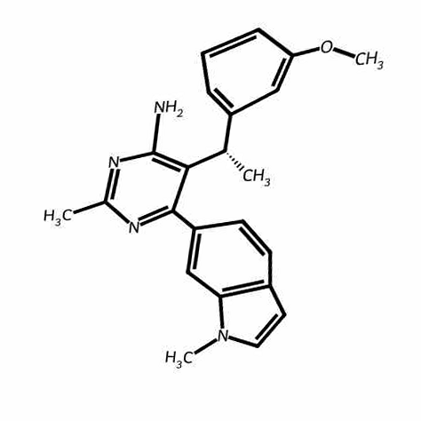 COc1cccc([C@H](C)c2c(N)nc(C)nc2-c2ccc3ccn(C)c3c2)c1